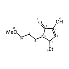 CCC1C=C(O)C(=O)N1CCCOC